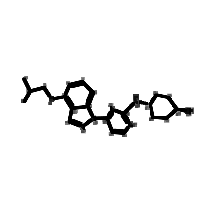 CC(C)COc1cccc2c1cnn2-c1ccnc(N[C@H]2CC[C@H](O)CC2)n1